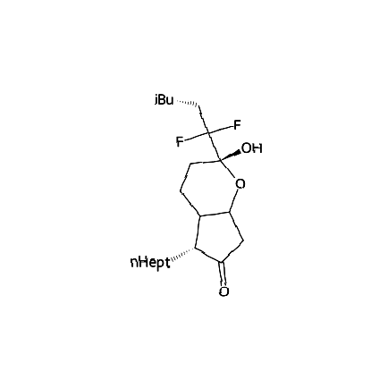 CCCCCCC[C@H]1C(=O)CC2O[C@@](O)(C(F)(F)C[C@@H](C)CC)CCC21